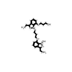 NCC1OB(O)c2c(OCCCOB3OC(CN)c4cccc(OCCCO)c43)cccc21